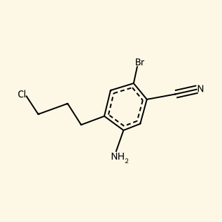 N#Cc1cc(N)c(CCCCl)cc1Br